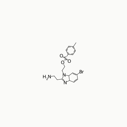 Cc1ccc(S(=O)(=O)OCCN2C(CCN)=NC3C=CC(Br)=CC32)cc1